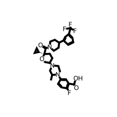 CC1CN(C2CC[C@@](C(=O)N3CCC(c4cccc(C(F)(F)F)c4)CC3)(C3CC3)OC2)CCN1c1ccc(F)c(C(=O)O)c1